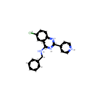 Clc1ccc2nc(-c3ccncc3)nc(NCc3ccccc3)c2c1